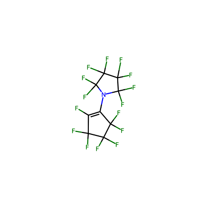 FC1=C(N2C(F)(F)C(F)(F)C(F)(F)C2(F)F)C(F)(F)C(F)(F)C1(F)F